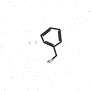 [Al+2][CH2]c1ccccc1.[I-].[I-]